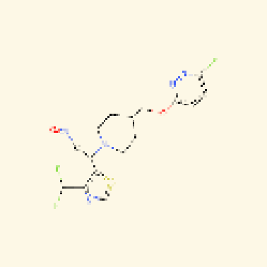 O=NCC(c1scnc1C(F)F)N1CCC(COc2ccc(F)nn2)CC1